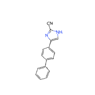 N#Cc1nc(-c2ccc(-c3ccccc3)cc2)c[nH]1